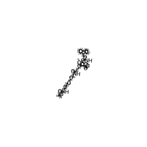 COc1cc(C(C)NC(=O)OCC2c3ccccc3-c3ccccc32)c([N+](=O)[O-])cc1OCCCC(=O)NCCOCCOCCOCCNC(=O)OC(C)(C)C